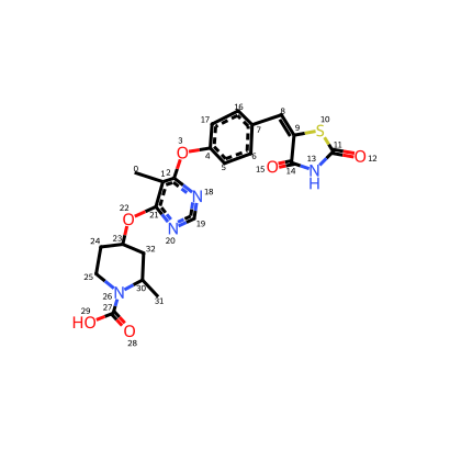 Cc1c(Oc2ccc(C=C3SC(=O)NC3=O)cc2)ncnc1OC1CCN(C(=O)O)C(C)C1